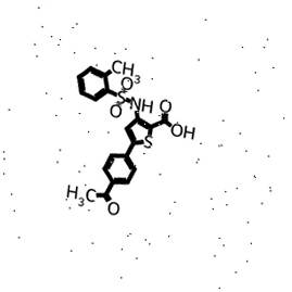 CC(=O)c1ccc(-c2cc(NS(=O)(=O)c3ccccc3C)c(C(=O)O)s2)cc1